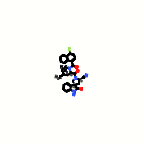 CC(C)C[C@@H](C(=O)N1C[C@]2(C[C@H]1C#N)C(=O)Nc1ccccc12)N(C)C(=O)c1ccc(F)c2ccccc12